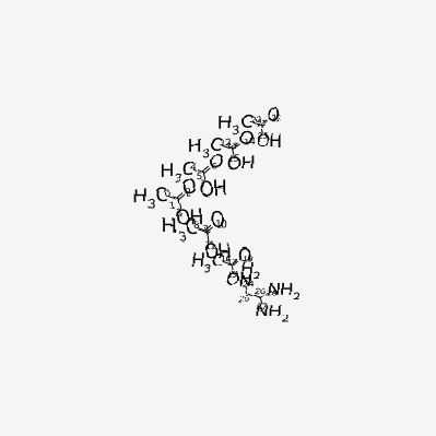 CC(=O)O.CC(=O)O.CC(=O)O.CC(=O)O.CC(=O)O.CC(=O)O.NCC(N)N